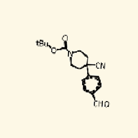 CC(C)(C)OC(=O)N1CCC(C#N)(c2ccc(C=O)cc2)CC1